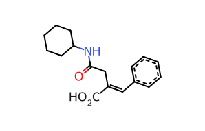 O=C(CC(=Cc1ccccc1)C(=O)O)NC1CCCCC1